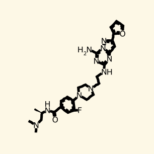 C[C@H](CN(C)C)NC(=O)c1ccc(N2CCN(CCNc3nc(N)n4nc(-c5ccco5)cc4n3)CC2)c(F)c1